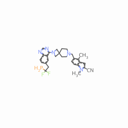 Cc1c(CN2CCC3(CC2)CN(c2ncnc4ccc(CC(F)(F)P)cc24)C3)ccc2c1cc(C#N)n2C